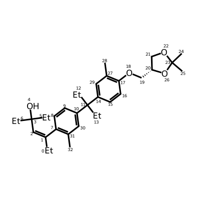 CC/C(=C/C(O)(CC)CC)c1ccc(C(CC)(CC)c2ccc(OC[C@@H]3COC(C)(C)O3)c(C)c2)cc1C